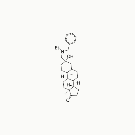 CCN(Cc1ccccc1)CC1(O)CC[C@@]2(C)C(CC[C@@H]3[C@H]2CC[C@]2(C)C(=O)CC[C@@H]32)C1